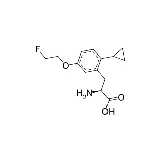 N[C@@H](Cc1cc(OCCF)ccc1C1CC1)C(=O)O